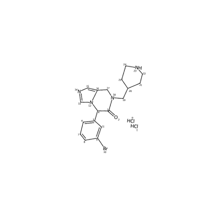 Cl.Cl.O=C1C(c2cccc(Br)c2)n2cncc2CN1CC1CCNCC1